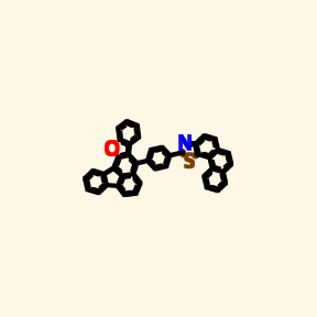 c1ccc2c(c1)-c1cccc3c(-c4ccc(-c5nc6ccc7ccc8ccccc8c7c6s5)cc4)c4c(oc5ccccc54)c-2c13